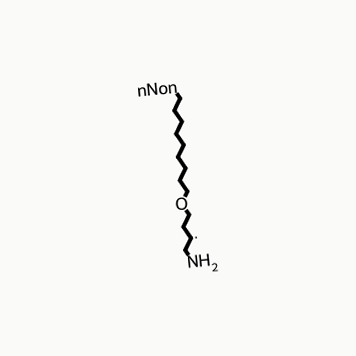 CCCCCCCCCCCCCCCCCCOCC[CH]CN